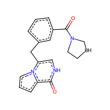 O=C(c1cccc(Cc2c[nH]c(=O)c3cccn23)c1)N1CBCC1